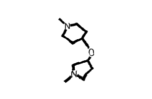 CN1CCC(OC2CCN(C)C2)CC1